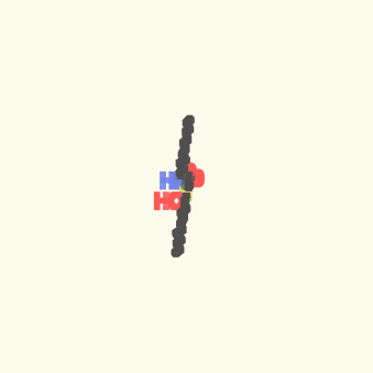 CCCCCCCCCCC(O)CSCC1NCC(CCCCCCCCCC)OC1=O